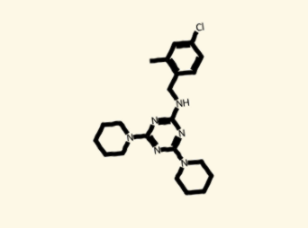 Cc1cc(Cl)ccc1CNc1nc(N2CCCCC2)nc(N2CCCCC2)n1